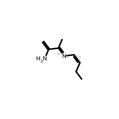 C=C(N)/C(C)=N/C=C\CC